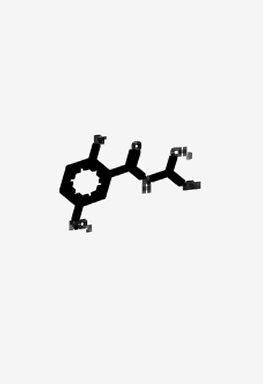 CC(NC(=O)c1cc([N+](=O)[O-])ccc1Br)C(C)(C)C